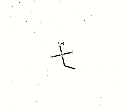 CCS(S)(I)I